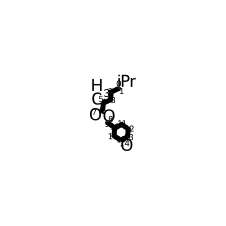 CC(C)CCCC(C)C(=O)OCC1CCC2OC2C1